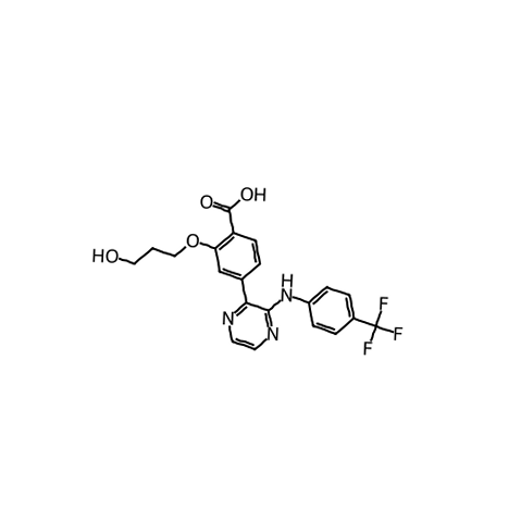 O=C(O)c1ccc(-c2nccnc2Nc2ccc(C(F)(F)F)cc2)cc1OCCCO